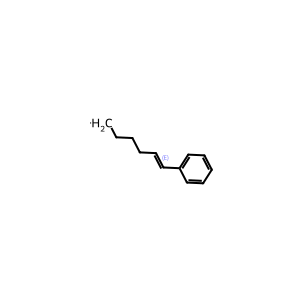 [CH2]CCC/C=C/c1ccccc1